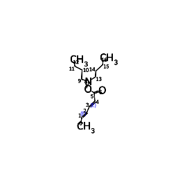 C/C=C/C=C/C(=O)ON(CCCC)CCCC